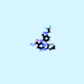 C[C@H](N)[C@@H](CC1CC1)Nc1nc(Nc2cccc3c2cnn3CC(F)F)c(C(N)=O)cc1F